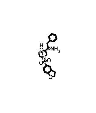 CC(C)CN(C[C@@H](O)[C@@H](N)Cc1ccccc1)S(=O)(=O)c1ccc2c(c1)CCO2